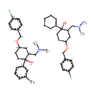 CN(C)CC1CC(OCc2ccc(F)cc2)CCC1(O)C1CCCCC1.Cc1cccc(C2(O)CCC(OCc3ccc(F)cc3)CC2CN(C)C)c1